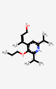 CCCOc1c(/C(C)=C\CO)cc(C(C)C)nc1C(C)C